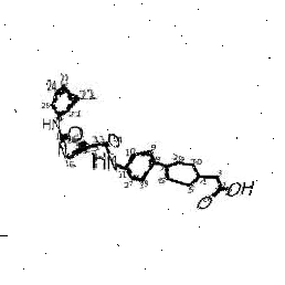 O=C(O)CC1CCC(c2ccc(NC(=O)c3cnc(Nc4ccccc4)o3)cc2)CC1